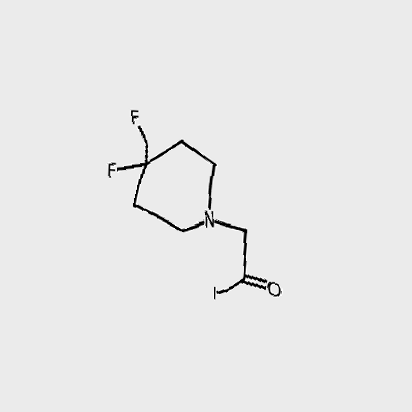 O=C(I)CN1CCC(F)(F)CC1